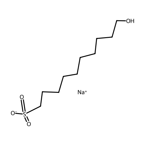 O=S(=O)([O-])CCCCCCCCCCO.[Na+]